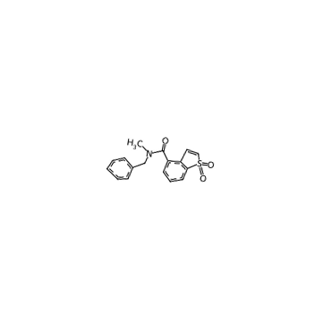 CN(Cc1ccccc1)C(=O)c1cccc2c1C=CS2(=O)=O